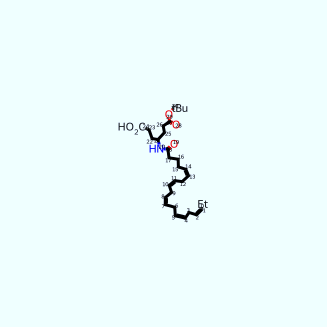 CC/C=C\C/C=C\C/C=C\C/C=C\C/C=C\CCCC(=O)NC(CCC(=O)O)CCC(=O)OC(C)(C)C